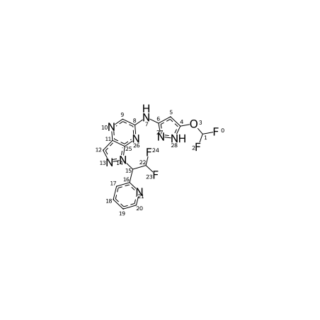 FC(F)Oc1cc(Nc2cnc3cnn(C(c4ccccn4)C(F)F)c3n2)n[nH]1